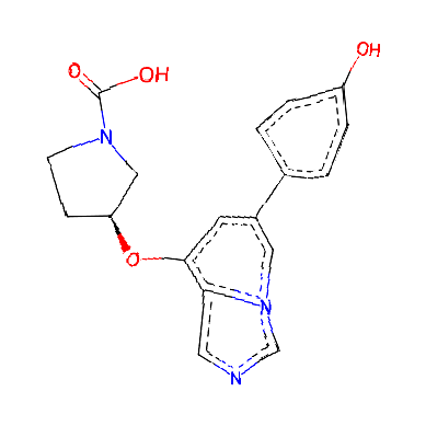 O=C(O)N1CC[C@H](Oc2cc(-c3ccc(O)cc3)cn3cncc23)C1